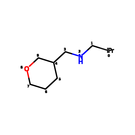 CC(C)CNCC1CCCOC1